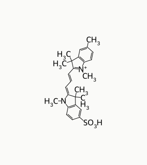 Cc1ccc2c(c1)C(C)(C)C(/C=C/C=C1/N(C)c3ccc(S(=O)(=O)O)cc3C1(C)C)=[N+]2C